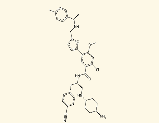 COc1cc(Cl)c(C(=O)N[C@@H](CN[C@H]2CC[C@H](N)CC2)Cc2ccc(C#N)cc2)cc1-c1ccc(CN[C@H](C)c2ccc(C)cc2)o1